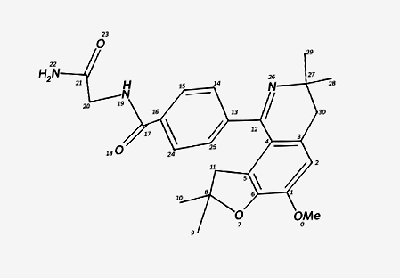 COc1cc2c(c3c1OC(C)(C)C3)C(c1ccc(C(=O)NCC(N)=O)cc1)=NC(C)(C)C2